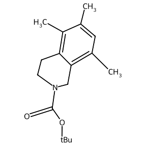 Cc1cc(C)c2c(c1C)CCN(C(=O)OC(C)(C)C)C2